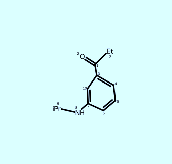 CCC(=O)c1cccc(NC(C)C)c1